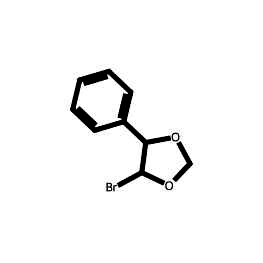 BrC1OCOC1c1ccccc1